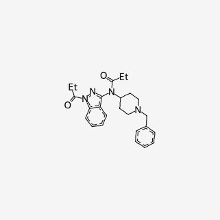 CCC(=O)N(c1nn(C(=O)CC)c2ccccc12)C1CCN(Cc2ccccc2)CC1